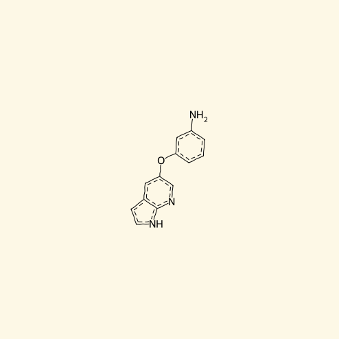 Nc1cccc(Oc2cnc3[nH]ccc3c2)c1